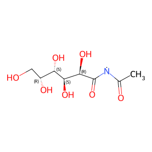 CC(=O)[N]C(=O)[C@H](O)[C@@H](O)[C@@H](O)[C@H](O)CO